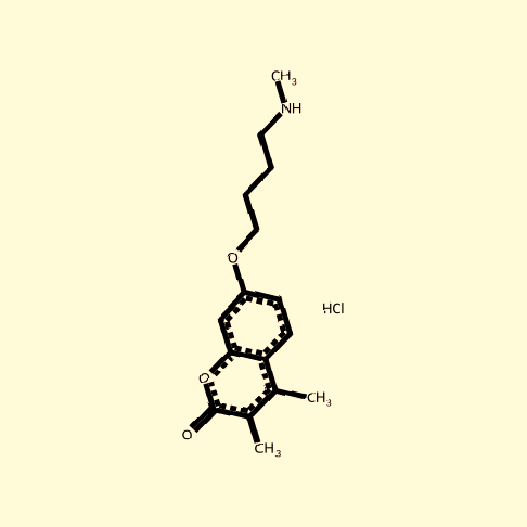 CNCCCCOc1ccc2c(C)c(C)c(=O)oc2c1.Cl